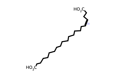 O=C(O)CC/C=C\CCCCCCCCCCCCCCCC(=O)O